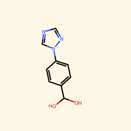 OC(O)c1ccc(-n2cncn2)cc1